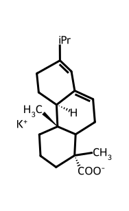 CC(C)C1=CC2=CCC3[C@](C)(C(=O)[O-])CCC[C@]3(C)[C@H]2CC1.[K+]